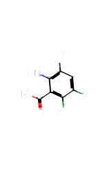 Nc1c(I)cc(Br)c(F)c1C(=O)O